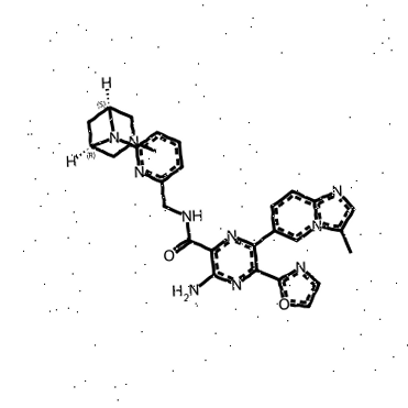 Cc1cnc2ccc(-c3nc(C(=O)NCc4cccc(N5[C@@H]6C[C@H]5CN(C)C6)n4)c(N)nc3-c3ncco3)cn12